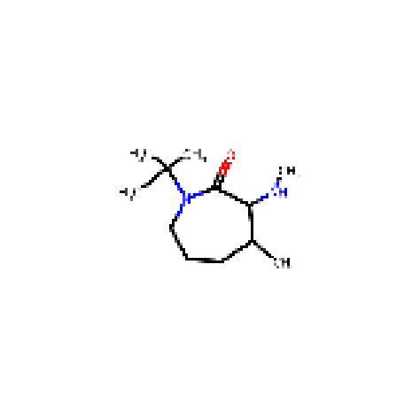 CNC1C(=O)N(C(C)(C)C)CCCC1C